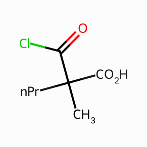 CCCC(C)(C(=O)O)C(=O)Cl